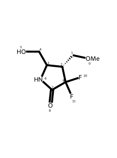 COC[C@H]1C(CO)NC(=O)C1(F)F